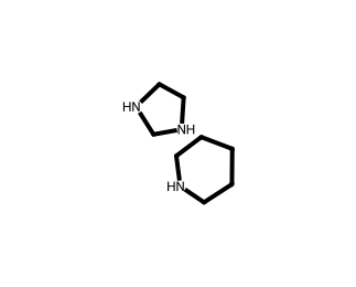 C1CCNCC1.C1CNCN1